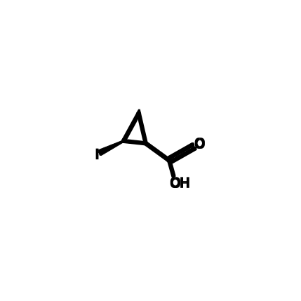 O=C(O)C1C[C@@H]1I